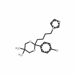 CC1(C)COC(CCCCn2ccnc2)(c2ccc(Cl)cc2)OC1